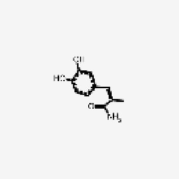 CC(=Cc1ccc(O)c(O)c1)C(N)=O